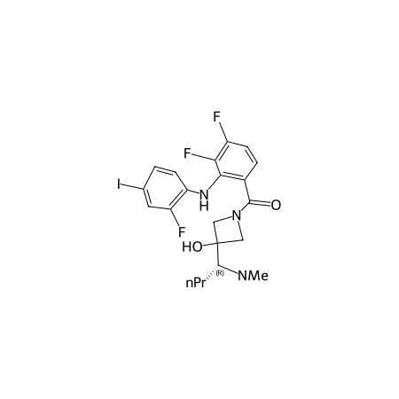 CCC[C@@H](NC)C1(O)CN(C(=O)c2ccc(F)c(F)c2Nc2ccc(I)cc2F)C1